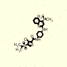 CC(C)S(=O)(=O)c1csc(C(=O)NC2CCC(Nc3cc(N(C)C)c4ccccc4n3)CC2)c1Cl